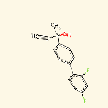 C#CC(C)(O)c1ccc(-c2ccc(F)cc2F)cc1